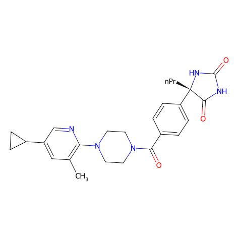 CCC[C@@]1(c2ccc(C(=O)N3CCN(c4ncc(C5CC5)cc4C)CC3)cc2)NC(=O)NC1=O